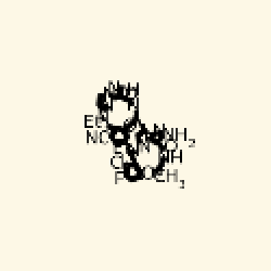 CCN1Cc2c(C#N)cccc2O[C@@H](Cc2cc3nc4c(c(N)nn24)C(=O)NC[C@H](C)Oc2ccc(F)c(Cl)c2CN3CC)CNC(=O)c2cnn3ccc1nc23